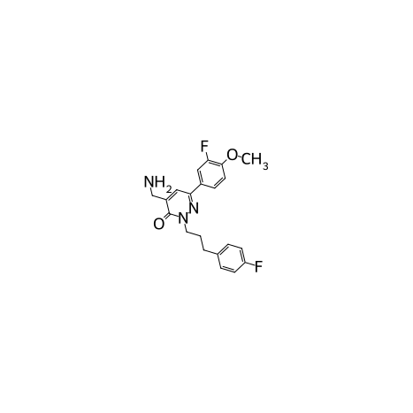 COc1ccc(-c2cc(CN)c(=O)n(CCCc3ccc(F)cc3)n2)cc1F